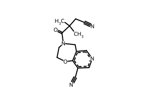 CC(C)(CC#N)C(=O)N1CCOc2c(C#N)cncc2C1